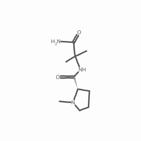 CN1CCC[C@H]1C(=O)NC(C)(C)C(N)=O